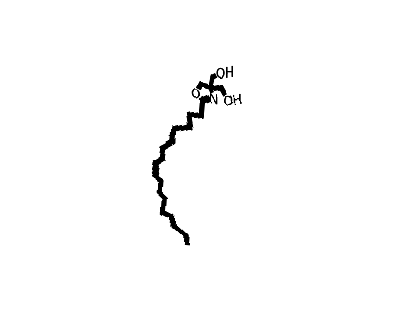 CCCCCCCC/C=C\CCCCCCCC1=NC(CO)(CO)CO1